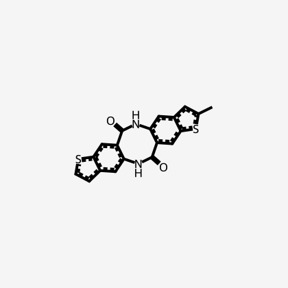 Cc1cc2cc3c(cc2s1)C(=O)Nc1cc2ccsc2cc1C(=O)N3